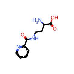 NC(CCNC(=O)c1ccccn1)C(=O)O